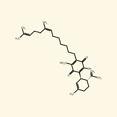 C=C(C)[C@@H]1CCC(C)=C[C@H]1C1=C(O)C(=O)C(CCCCCCC=C(C)CCC=C(C)C)=C(C(=O)O)C1=O